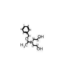 CC(OCc1ccccc1)N(CCO)CCO